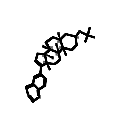 CC(C)(C)O[C@H]1CC[C@@]2(C)[C@@H](CC[C@@H]3[C@@H]2CC[C@]2(C)C(c4ccc5ncncc5c4)=CC[C@@H]32)C1